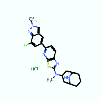 CN(c1nc2ccc(-c3cc(F)c4nn(C)cc4c3)nc2s1)C1CC2CCCC(C1)N2.Cl